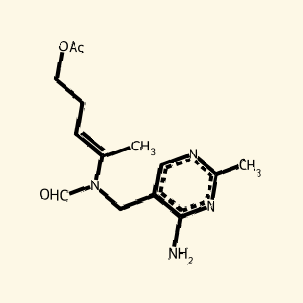 CC(=O)OCC/C=C(\C)N(C=O)Cc1cnc(C)nc1N